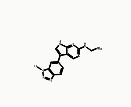 CCn1nnc2ccc(-c3c[nH]c4nc(NCC(C)(C)C)ncc34)cc21